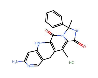 Cc1c2c(c(=O)n3c1C(=O)NC3(C)c1ccccc1)Nc1cc(N)ncc1C2.Cl